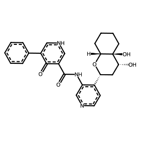 O=C(Nc1cnccc1[C@H]1C[C@@H](O)[C@@]2(O)CCCC[C@H]2O1)c1c[nH]cc(-c2ccccc2)c1=O